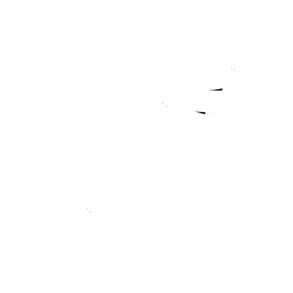 CC(=O)NC[C@@H]1OC(=O)N2c3ccc(-c4ccc(C(F)(F)F)nc4)cc3OC[C@@H]12